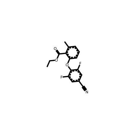 CCOC(=O)c1c(C)cccc1Oc1c(F)cc(C#N)cc1F